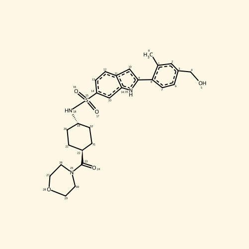 Cc1cc(CO)ccc1-c1cc2ccc(S(=O)(=O)N[C@H]3CC[C@H](C(=O)N4CCOCC4)CC3)cc2[nH]1